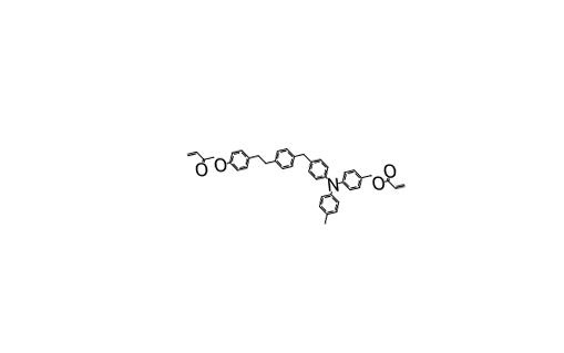 C=CC(=O)COc1ccc(CCc2ccc(Cc3ccc(N(c4ccc(C)cc4)c4ccc(COC(=O)C=C)cc4)cc3)cc2)cc1